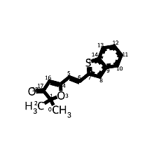 CC1(C)OC(C=Cc2cc3ccccc3s2)=CC1=O